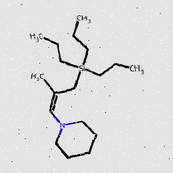 CCC[Si](CCC)(CCC)CC(C)=CN1CCCCC1